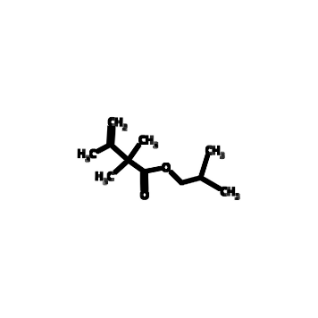 C=C(C)C(C)(C)C(=O)OCC(C)C